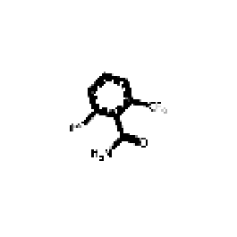 CC(C)c1cccc(C(F)(F)F)c1C(N)=O